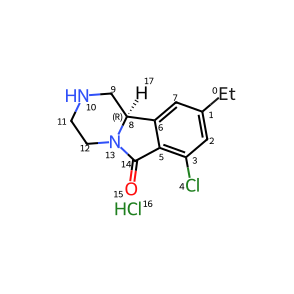 CCc1cc(Cl)c2c(c1)[C@@H]1CNCCN1C2=O.Cl